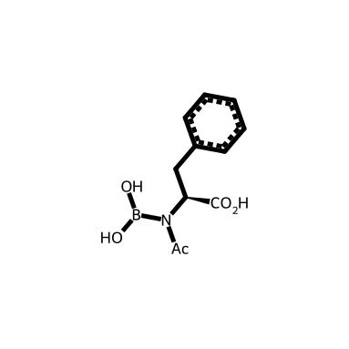 CC(=O)N(B(O)O)[C@@H](Cc1ccccc1)C(=O)O